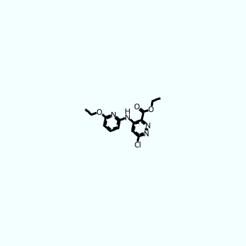 CCOC(=O)c1nnc(Cl)cc1Nc1cccc(OCC)n1